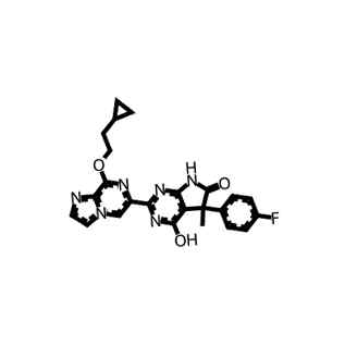 CC1(c2ccc(F)cc2)C(=O)Nc2nc(-c3cn4ccnc4c(OCCC4CC4)n3)nc(O)c21